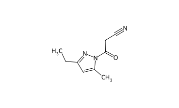 CCc1cc(C)n(C(=O)CC#N)n1